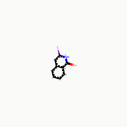 O=c1[nH]c(I)cc2ccccc12